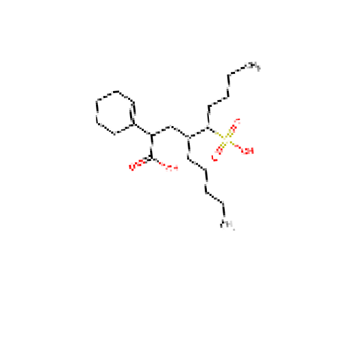 CCCCCC(CC(C(=O)O)C1=CCCCC1)C(CCCC)S(=O)(=O)O